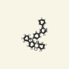 c1ccc(-c2cc(-c3ccc(-n4c5ccccc5c5ccc6c(c54)Oc4ccccc4O6)cc3)ccn2)cc1